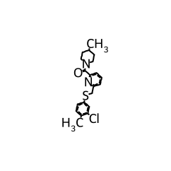 Cc1ccc(SCc2cccc(C(=O)N3CCC(C)CC3)n2)cc1Cl